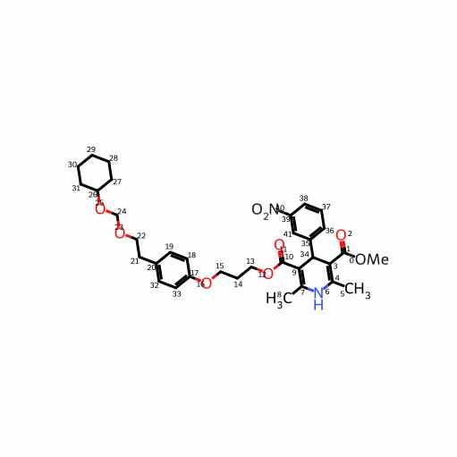 COC(=O)C1=C(C)NC(C)=C(C(=O)OCCCOc2ccc(CCOCOC3CCCCC3)cc2)C1c1cccc([N+](=O)[O-])c1